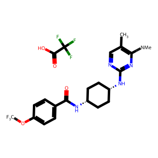 CNc1nc(N[C@H]2CC[C@@H](NC(=O)c3ccc(OC(F)(F)F)cc3)CC2)ncc1C.O=C(O)C(F)(F)F